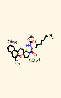 C=CCCCCC[C@H](NC(=O)OC(C)(C)C)C(=O)N1C[C@@]2(CCc3c(c(C(F)(F)F)cc4ccc(OC)cc34)O2)C[C@H]1C(=O)O